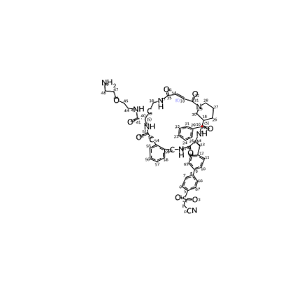 N#CCS(=O)(=O)c1ccc(-c2ccc(C[C@@H]3NC(=O)[C@]4(Cc5ccccc5)CCCN(C4)C(=O)/C=C/C(=O)NCC[C@@H](C(=O)NCCOCCN)NC(=O)Cc4ccccc4CNC3=O)cc2)cc1